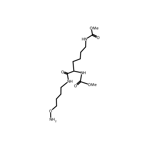 COC(=O)NCCCCC(NC(=O)OC)C(=O)NCCCCON